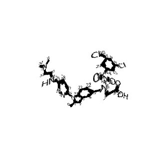 Cc1cc2cc(N(CC(=O)O)S(=O)(=O)c3cc(Cl)cc(Cl)c3)ccc2n1-c1ccc(NCCN(C)C)nn1